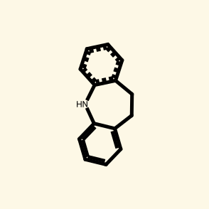 C1=C=C2Nc3ccccc3CCC2=CC=1